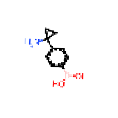 NC1(c2ccc(B(O)O)cc2)CC1